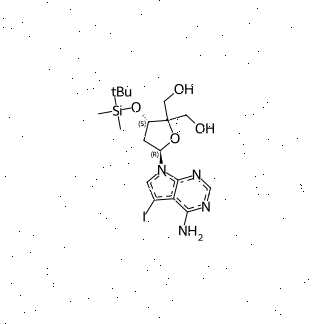 CC(C)(C)[Si](C)(C)O[C@H]1C[C@H](n2cc(I)c3c(N)ncnc32)OC1(CO)CO